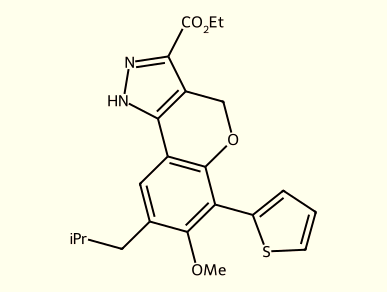 CCOC(=O)c1n[nH]c2c1COc1c-2cc(CC(C)C)c(OC)c1-c1cccs1